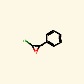 ClC1OC1c1ccccc1